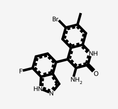 Cc1cc2[nH]c(=O)c(N)c(-c3ccc(F)c4[nH]ncc34)c2cc1Br